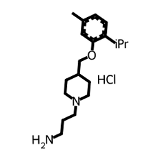 Cc1ccc(C(C)C)c(OCC2CCN(CCCN)CC2)c1.Cl